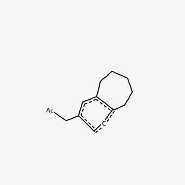 CC(=O)Cc1ccc2c(c1)CCCCC2